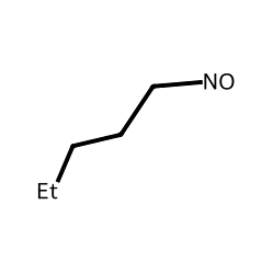 CCCCCN=O